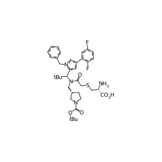 CC(C)(C)OC(=O)N1CC[C@H](CN(C(=O)CSC[C@H](N)C(=O)O)C(c2cc(-c3cc(F)ccc3F)cn2Cc2ccccc2)C(C)(C)C)C1